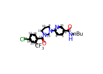 CCCCNC(=O)c1ccc(N2CCCN(C(=O)c3ccc(Cl)cc3C(F)(F)F)C2)nc1